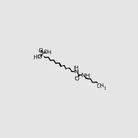 CCCCCNC(=O)NCCCC/C=C/CCCCCP(=O)(O)O